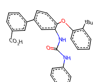 CC(C)(C)c1ccccc1Oc1ccc(-c2cccc(C(=O)O)c2)cc1NC(=O)Nc1ccccc1